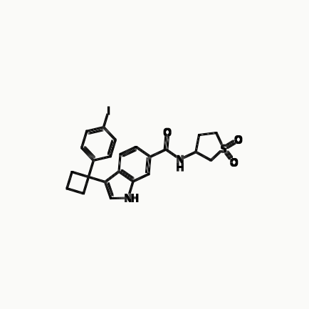 O=C(NC1CCS(=O)(=O)C1)c1ccc2c(C3(c4ccc(I)cc4)CCC3)c[nH]c2c1